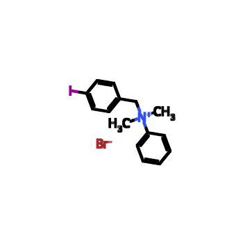 C[N+](C)(Cc1ccc(I)cc1)c1ccccc1.[Br-]